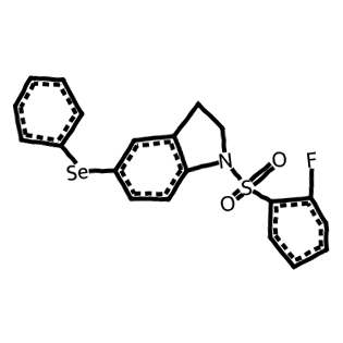 O=S(=O)(c1ccccc1F)N1CCc2cc([Se]c3ccccc3)ccc21